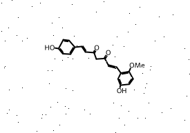 COc1ccc(O)cc1C=CC(=O)CC(=O)C=Cc1ccc(O)cc1